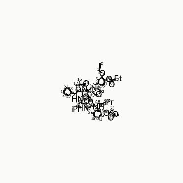 C#CCOc1cc(C[N+]2(CC(=O)N(C(=O)[C@@]3(C)CO3)[C@@H](CCc3ccccc3)C(=O)N[C@@H](CC(C)C)C(=O)N[C@@H](Cc3ccccc3)C(=O)NCCC(C)C)CCOCC2)ccc1OC(=O)CC.CS(=O)(=O)[O-]